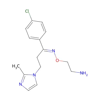 Cc1nccn1CCC(=NOCCN)c1ccc(Cl)cc1